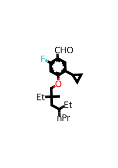 CCCC(CC)CC(C)(CC)COc1cc(F)c(C=O)cc1C1CC1